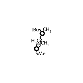 CSc1ccc2c(c1)CN(C(C)(C)CCc1ccc(C)c(CC(C)(C)C)c1)C2